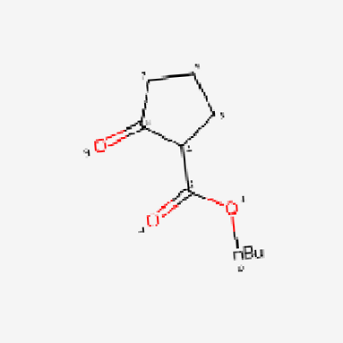 CCCCOC(=O)C1CCCC1=O